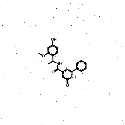 COc1cc(O)ccc1C(C)NC(=O)c1cc(=O)[nH]c(-c2ccccc2)n1